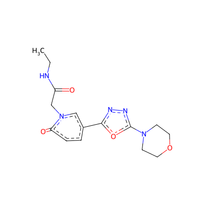 CCNC(=O)Cn1cc(-c2nnc(N3CCOCC3)o2)ccc1=O